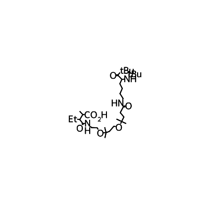 CCC(C(=O)NCCOC(C)(C)CCOC(C)(C)CCC(=O)NCCCCC(NC(C)(C)C)C(=O)C(C)(C)C)C(C)C(=O)O